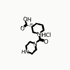 Cl.O=C(O)[C@@H]1CCCN(C(=O)N2CCNCC2)C1